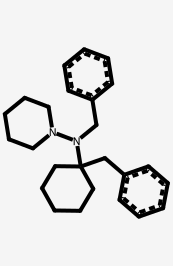 c1ccc(CN(N2CCCCC2)C2(Cc3ccccc3)CCCCC2)cc1